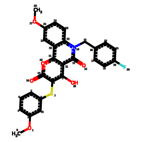 COc1cccc(Sc2c(O)c3c(=O)n(Cc4ccc(F)cc4)c4ccc(OC)cc4c3oc2=O)c1